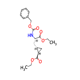 CCOC(=O)[C@H](C[C@@H]1C[C@H]1C(=O)OCC)NC(=O)OCc1ccccc1